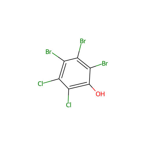 Oc1c(Cl)c(Cl)c(Br)c(Br)c1Br